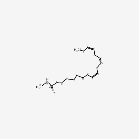 CC/C=C\C/C=C\C/C=C\CCCCCCCC(=O)NC